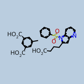 Cc1cc(C(=O)O)cc(C(=O)O)c1.O=C(O)CCCc1cc2ncccc2n1S(=O)(=O)c1ccccc1